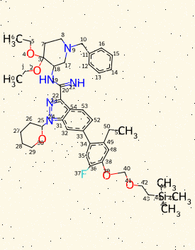 CCOC1(OCC)CCN(Cc2ccccc2)CC1NC(=N)c1nn(C2CCCCO2)c2cc(-c3cc(F)c(OCOCC[Si](C)(C)C)cc3CC)ccc12